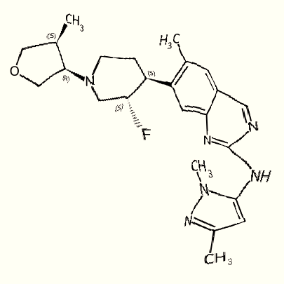 Cc1cc(Nc2ncc3cc(C)c([C@@H]4CCN([C@H]5COC[C@H]5C)C[C@H]4F)cc3n2)n(C)n1